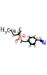 CCCC(C)S(=O)(=O)Cc1ccc(C#N)cc1